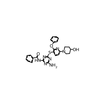 Nc1nc(NC(=O)c2ccccc2)nc(Sc2ccc(N3CCC(O)CC3)nc2Oc2ccccc2)n1